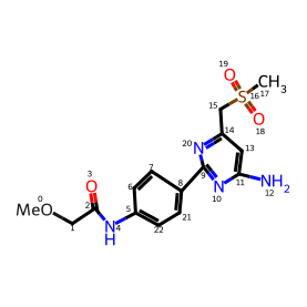 COCC(=O)Nc1ccc(-c2nc(N)cc(CS(C)(=O)=O)n2)cc1